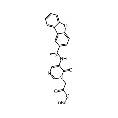 CCCCOC(=O)Cn1cncc(N[C@@H](C)c2ccc3oc4ccccc4c3c2)c1=O